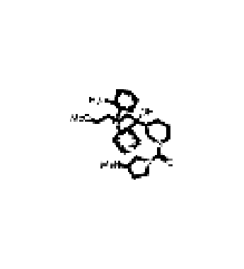 CNC1CCN(C(=O)N2CCCC([C@@](O)(CCCCOC)c3ccccc3Oc3ccccc3C)C2)C1